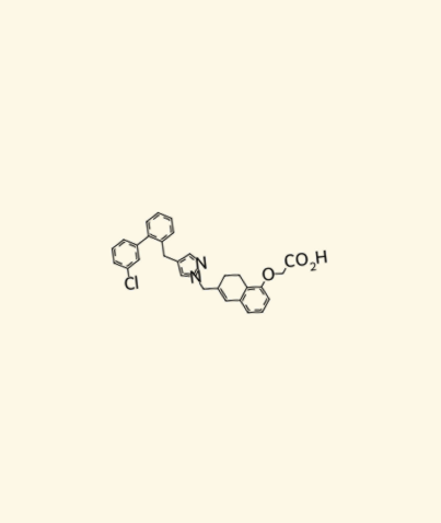 O=C(O)COc1cccc2c1CCC(Cn1cc(Cc3ccccc3-c3cccc(Cl)c3)cn1)=C2